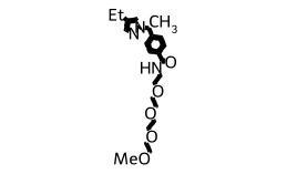 CCc1cnn(C(C)c2ccc(C(=O)NCCOCCOCCOCCOC)cc2)c1